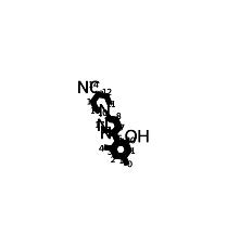 Cc1cc(C)c(-c2ccc(N3CCC(C#N)CC3)nn2)c(O)c1